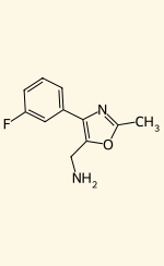 Cc1nc(-c2cccc(F)c2)c(CN)o1